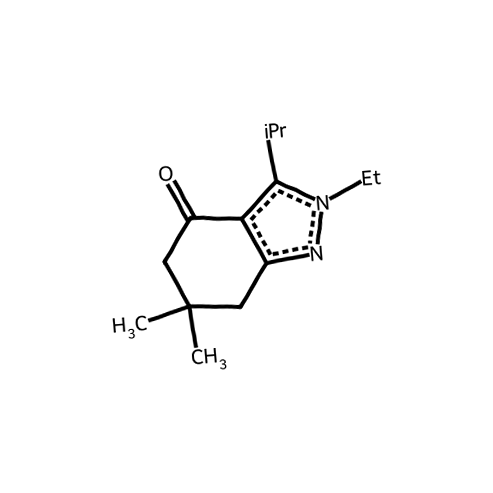 CCn1nc2c(c1C(C)C)C(=O)CC(C)(C)C2